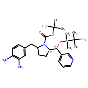 CC(C)(C)OC(=O)N1C(Cc2ccc(N)c(N)c2)CC[C@@H]1[C@H](O[Si](C)(C)C(C)(C)C)c1cccnc1